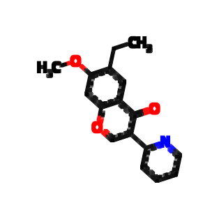 CCc1cc2c(=O)c(-c3ccccn3)coc2cc1OC